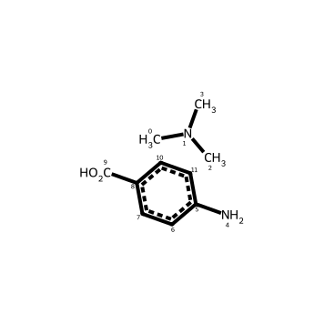 CN(C)C.Nc1ccc(C(=O)O)cc1